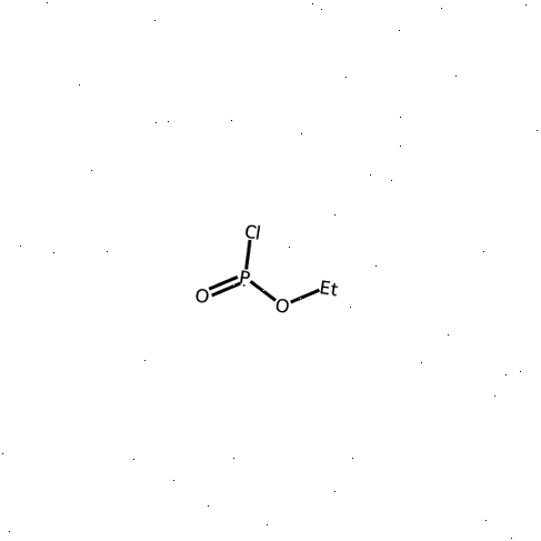 CCO[P](=O)Cl